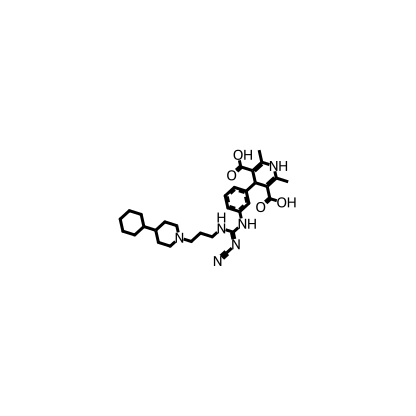 CC1=C(C(=O)O)C(c2cccc(N/C(=N/C#N)NCCCN3CCC(C4CCCCC4)CC3)c2)C(C(=O)O)=C(C)N1